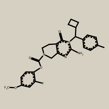 Cc1ccc(C(C2CCC2)n2c(N)nc3c(c2=O)CCN(C(=O)Oc2ccc(OC(F)(F)F)cc2F)C3)cc1